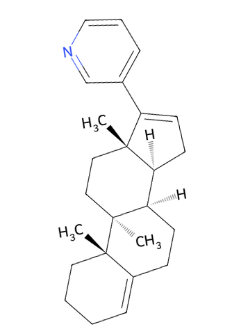 C[C@]12CCCC=C1CC[C@@H]1[C@@H]3CC=C(c4cccnc4)[C@@]3(C)CC[C@@]12C